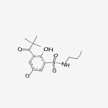 CCCNS(=O)(=O)c1cc(Cl)cc(C(=O)C(C)(C)C)c1O